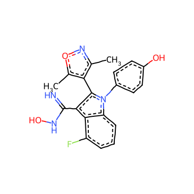 Cc1noc(C)c1-c1c(C(=N)NO)c2c(F)cccc2n1-c1ccc(O)cc1